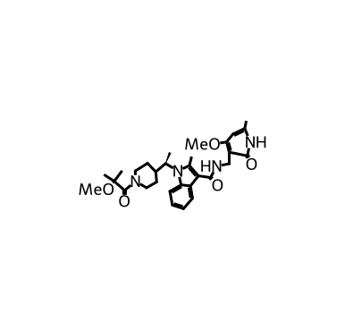 COc1cc(C)[nH]c(=O)c1CNC(=O)c1c(C)n([C@H](C)C2CCN(C(=O)C(C)(C)OC)CC2)c2ccccc12